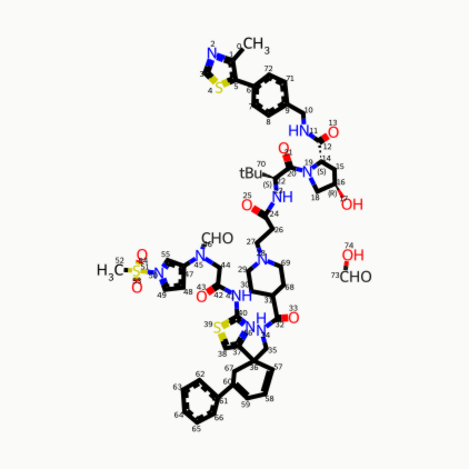 Cc1ncsc1-c1ccc(CNC(=O)[C@@H]2C[C@@H](O)CN2C(=O)[C@@H](NC(=O)CCN2CCC(C(=O)NCC3(c4csc(NC(=O)CN(C=O)c5ccn(S(C)(=O)=O)c5)n4)C=CC=C(c4ccccc4)C3)CC2)C(C)(C)C)cc1.O=CO